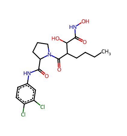 CCCCC(C(=O)N1CCCC1C(=O)Nc1ccc(Cl)c(Cl)c1)C(O)C(=O)NO